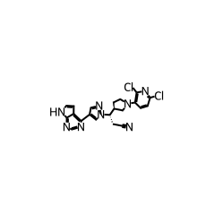 N#CC[C@@H]([C@H]1CCN(c2ccc(Cl)nc2Cl)C1)n1cc(-c2ncnc3[nH]ccc23)cn1